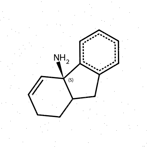 N[C@]12C=CCCC1Cc1ccccc12